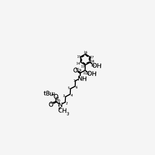 CN(CCCCCCNC(=O)C(O)c1ccccc1O)C(=O)OC(C)(C)C